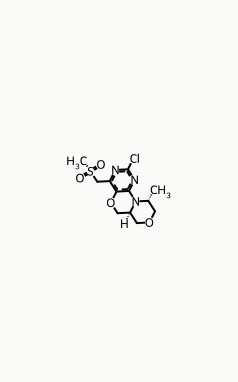 C[C@@H]1COC[C@H]2COc3c(CS(C)(=O)=O)nc(Cl)nc3N21